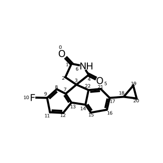 O=C1CC2(C(=O)N1)c1cc(F)ccc1-c1ccc(C3CC3)cc12